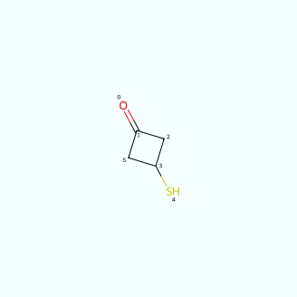 O=C1CC(S)C1